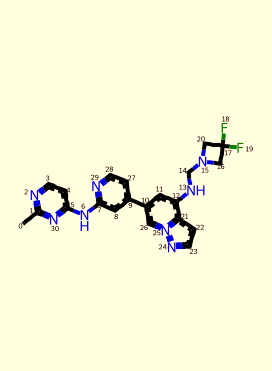 Cc1nccc(Nc2cc(-c3cc(NCN4CC(F)(F)C4)c4ccnn4c3)ccn2)n1